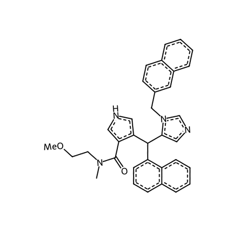 COCCN(C)C(=O)c1c[nH]cc1C(c1cccc2ccccc12)c1cncn1Cc1ccc2ccccc2c1